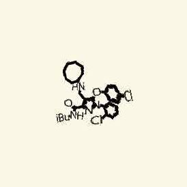 CCC(C)NC(=O)c1nn(-c2ccccc2Cl)c(Oc2ccc(Cl)cc2)c1CNC1CCCCCCC1